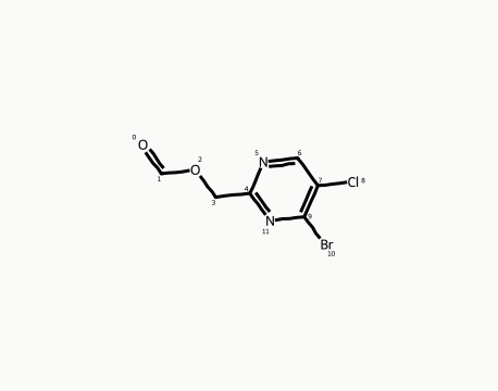 O=COCc1ncc(Cl)c(Br)n1